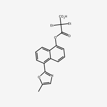 CCC(CC)(C(=O)O)C(=O)Oc1cccc2c(-c3ncc(C)o3)cccc12